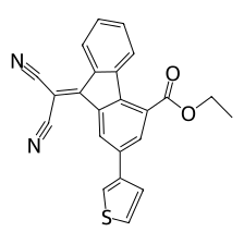 CCOC(=O)c1cc(-c2ccsc2)cc2c1-c1ccccc1C2=C(C#N)C#N